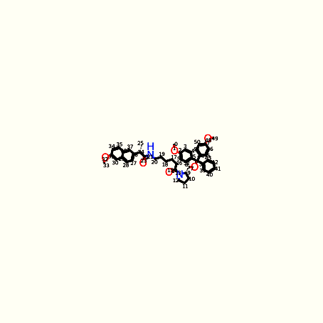 COc1ccc(C(OC[C@@H]2CCCN2C(=O)CCCCCNC(=O)[C@@H](C)c2ccc3cc(OC)ccc3c2)(c2ccccc2)c2ccc(OC)cc2)cc1